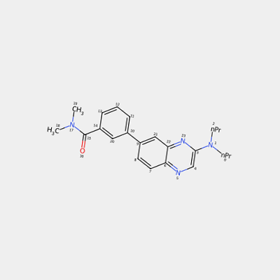 CCCN(CCC)c1cnc2ccc(-c3cccc(C(=O)N(C)C)c3)cc2n1